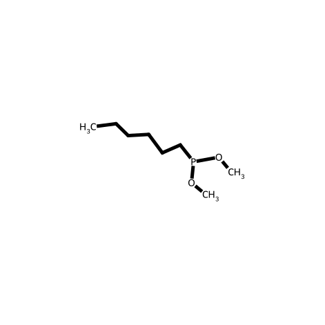 CCCCCCP(OC)OC